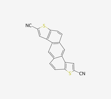 N#Cc1cc2c(ccc3cc4c(ccc5sc(C#N)cc54)cc32)s1